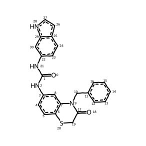 O=C(Nc1ccc2c(c1)N(Cc1ccccc1)C(=O)CS2)Nc1ccc2cc[nH]c2c1